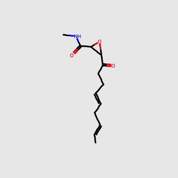 C/C=C/C/C=C/CCC(=O)C1OC1C(=O)NC